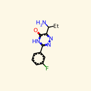 CCC(N)c1nnc(-c2cccc(F)c2)[nH]c1=O